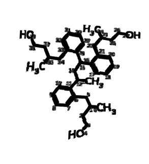 CC(CCO)Cc1ccccc1C(C)CC(c1ccccc1CC(C)CCO)c1ccccc1CC(C)CCO